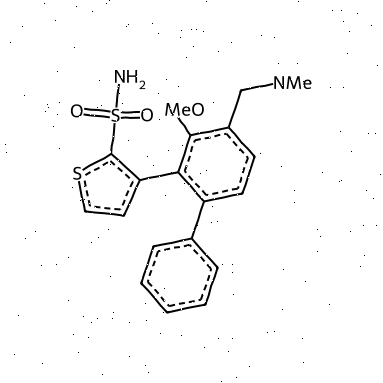 CNCc1ccc(-c2ccccc2)c(-c2ccsc2S(N)(=O)=O)c1OC